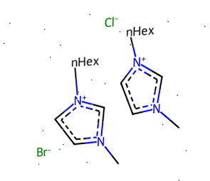 CCCCCC[n+]1ccn(C)c1.CCCCCC[n+]1ccn(C)c1.[Br-].[Cl-]